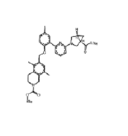 COC(=O)[C@]12C[C@H]1CN(c1cccc(-c3cc(C)ccc3OCc3cc(C)c4c(c3C)CCN(C(=O)OC(C)(C)C)C4)n1)C2